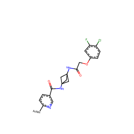 CC(=O)Nc1ccc(C(=O)NC23CC(NC(=O)COc4ccc(Cl)c(F)c4)(C2)C3)cn1